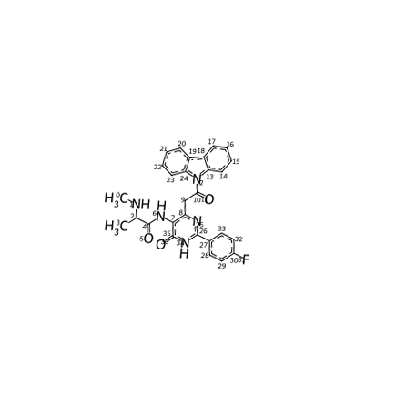 CNC(C)C(=O)Nc1c(CC(=O)n2c3ccccc3c3ccccc32)nc(-c2ccc(F)cc2)[nH]c1=O